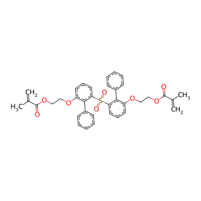 C=C(C)C(=O)OCCOc1cccc(S(=O)(=O)c2cccc(OCCOC(=O)C(=C)C)c2-c2ccccc2)c1-c1ccccc1